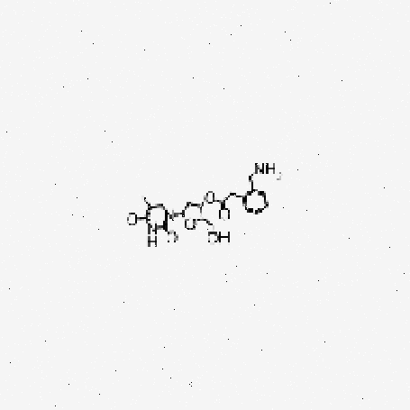 Cc1cn([C@H]2C[C@@H](OC(=O)Cc3ccccc3CN)C(CO)O2)c(=O)[nH]c1=O